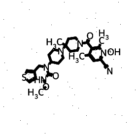 CONC(=O)N(Cc1ccsc1)C1CCN(C2(C)CCN(C(=O)c3c(C)cc(C#N)[n+](O)c3C)CC2)CC1